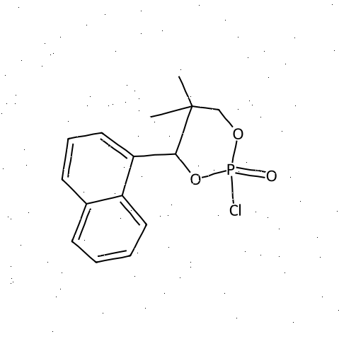 CC1(C)COP(=O)(Cl)OC1c1cccc2ccccc12